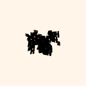 Cc1nc2cc(C)c(CN(C)c3ccc(C(=O)N(C(=O)CC[C@H](N)C(=O)O)[C@](C(=O)O)(C(C)(C)C)C(CC(=O)O)(C(C)(C)C)C(C)(C)C)cc3)cc2c(=O)[nH]1